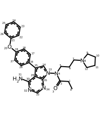 CCC(=O)N(CCCN1CCCC1)n1cc(-c2ccc(Oc3ccccc3)cc2)c2c(N)ncnc21